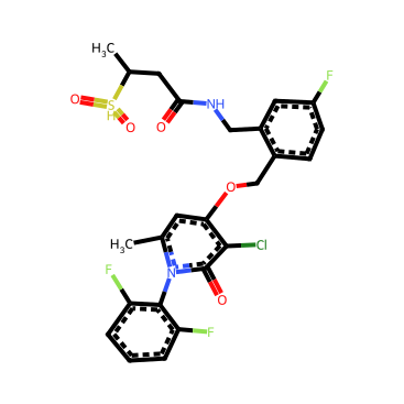 Cc1cc(OCc2ccc(F)cc2CNC(=O)CC(C)[SH](=O)=O)c(Cl)c(=O)n1-c1c(F)cccc1F